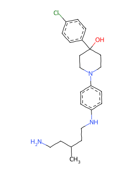 CC(CCN)CCNc1ccc(N2CCC(O)(c3ccc(Cl)cc3)CC2)cc1